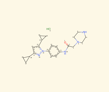 Cl.O=C(CN1CCNCC1)Nc1ccc(-n2nc(C3CC3)cc2C2CC2)cc1